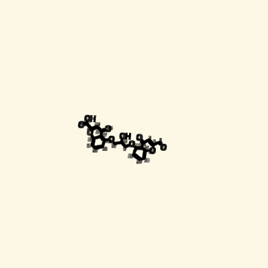 O=Cc1cc(=O)c2c(OCC(O)COc3cccc4oc(C(=O)O)cc(=O)c34)cccc2o1